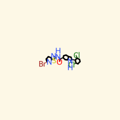 O=C(Nc1nc2ccc(Br)nc2s1)c1ccc2cc(-c3c(Cl)cccc3Cl)[nH]c2c1